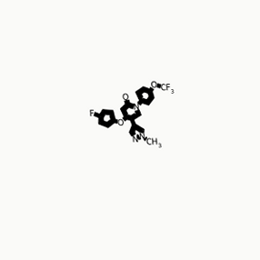 Cn1cc(-c2cn(-c3ccc(OC(F)(F)F)cc3)c(=O)cc2Oc2ccc(F)cc2)cn1